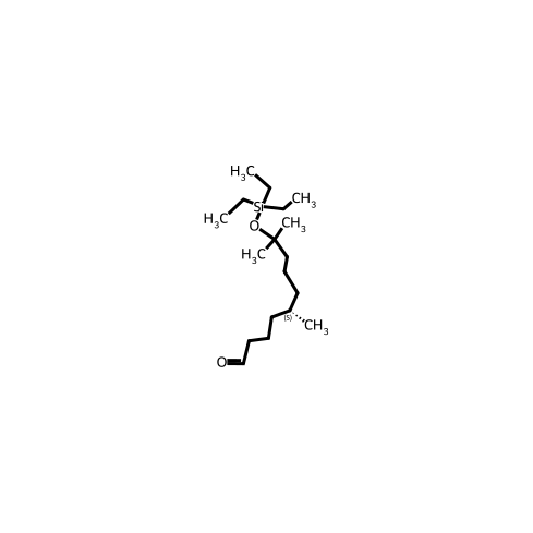 CC[Si](CC)(CC)OC(C)(C)CCC[C@H](C)CCCC=O